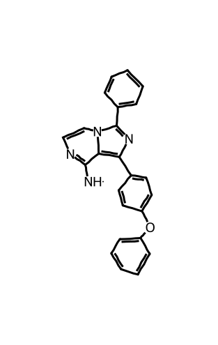 [NH]c1nccn2c(-c3ccccc3)nc(-c3ccc(Oc4ccccc4)cc3)c12